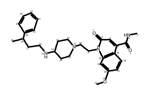 CNC(=O)c1cc(=O)n(CCN2CCC(NCCC(C)c3ccccc3)CC2)c2cc(OC)ccc12